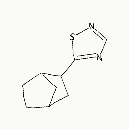 c1nsc(C2CC3CCC2C3)n1